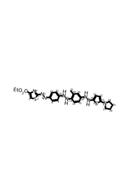 CCOC(=O)c1csc(/N=N/c2ccc(NNc3ccc(NNc4ccc(N5CCCC5)s4)cc3C)cc2)n1